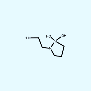 NCCN1CCCS1(O)O